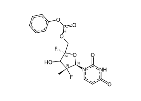 C[C@@]1(F)C(O)[C@@](F)(CO[PH](=O)Oc2ccccc2)O[C@H]1n1ccc(=O)[nH]c1=O